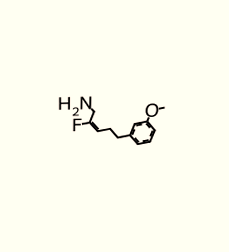 COc1cccc(CC/C=C(/F)CN)c1